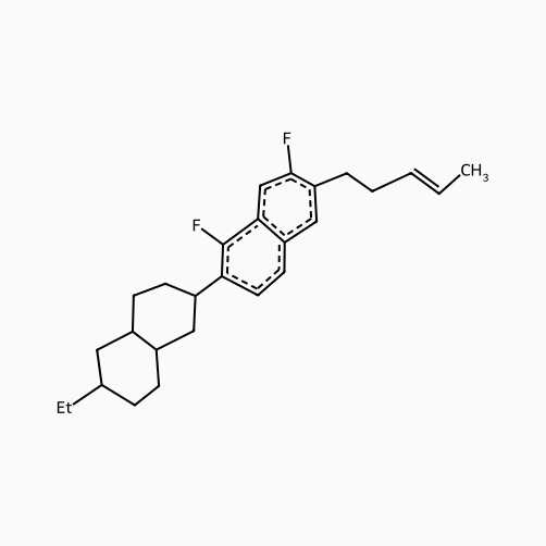 CC=CCCc1cc2ccc(C3CCC4CC(CC)CCC4C3)c(F)c2cc1F